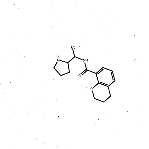 CCC(NC(=O)c1cccc2c1OCCC2)C1CCCN1